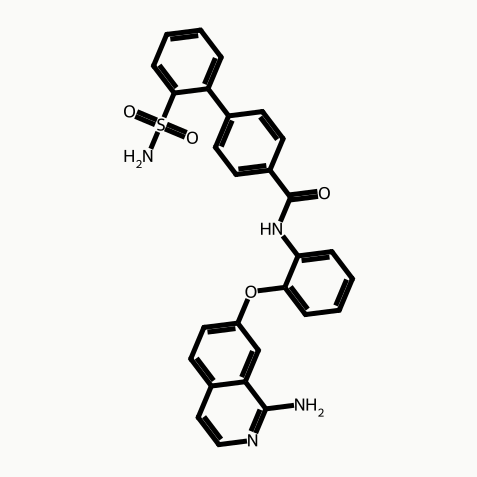 Nc1nccc2ccc(Oc3ccccc3NC(=O)c3ccc(-c4ccccc4S(N)(=O)=O)cc3)cc12